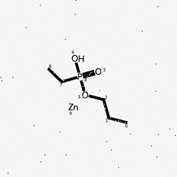 CCCOP(=O)(O)CC.[Zn]